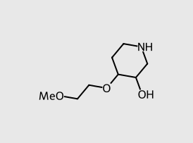 COCCOC1CCNCC1O